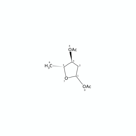 CC(=O)OC1C[C@H](OC(C)=O)[C@@H](C)O1